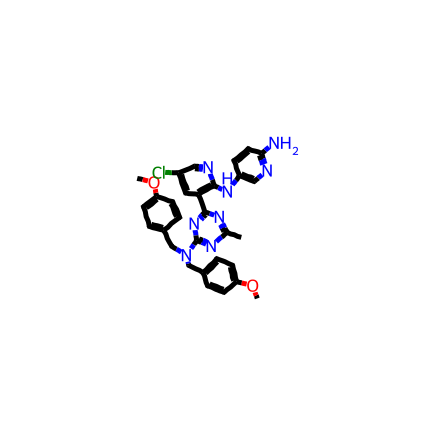 COc1ccc(CN(Cc2ccc(OC)cc2)c2nc(C)nc(-c3cc(Cl)cnc3Nc3ccc(N)nc3)n2)cc1